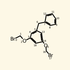 BrCOc1cc(Cc2ccccc2)cc(OCBr)c1